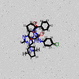 Cc1nc2c(n1C1C[C@H]3CC[C@@H](C1)N3CCCN(C(=O)Nc1ccc(Cl)cc1)c1ccccc1)CCN(C(=O)c1ccccc1)C2